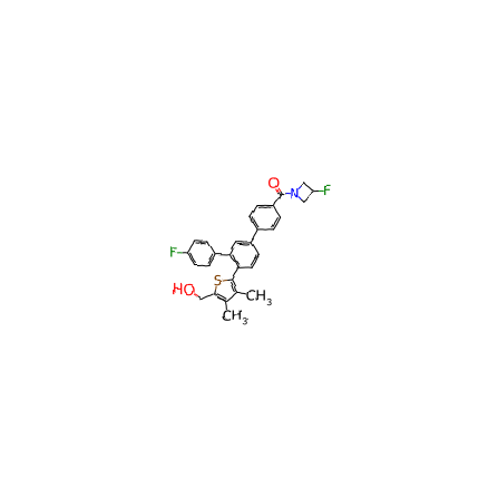 Cc1c(CO)sc(-c2ccc(-c3ccc(C(=O)N4CC(F)C4)cc3)cc2-c2ccc(F)cc2)c1C